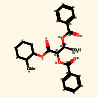 COC1CCCCC1OC(=O)[C@H](OC(=O)c1ccccc1)[C@@H](OC(=O)c1ccccc1)C(=O)O